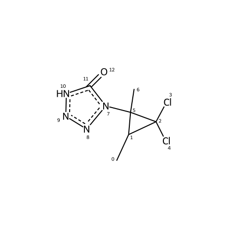 CC1C(Cl)(Cl)C1(C)n1nn[nH]c1=O